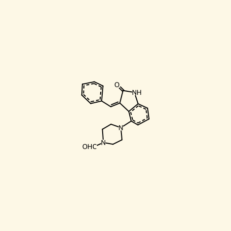 O=CN1CCN(c2cccc3c2C(=Cc2ccccc2)C(=O)N3)CC1